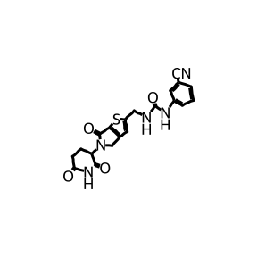 N#Cc1cccc(NC(=O)NCc2cc3c(s2)C(=O)N(C2CCC(=O)NC2=O)C3)c1